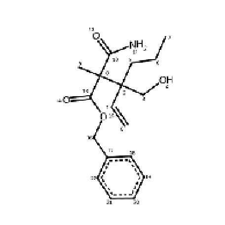 C=CC(CO)(CCC)C(C)(C(N)=O)C(=O)OCc1ccccc1